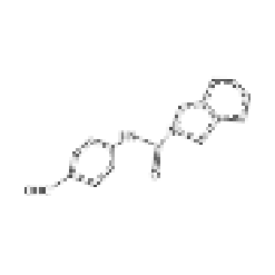 O=Cc1ccc(NC(=O)n2cc3ccccc3c2)cc1